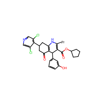 CC(C)C1=C(C(=O)OC2CCCC2)C(c2cccc(O)c2)C2=C(CC(c3c(Cl)cncc3Cl)CC2=O)N1